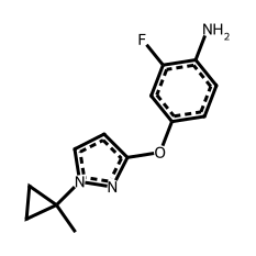 CC1(n2ccc(Oc3ccc(N)c(F)c3)n2)CC1